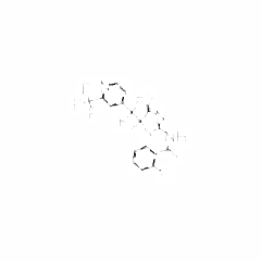 C[C@H](NC1=NC(=O)C(C)(C(F)(F)c2ccnc(C(F)(F)F)c2)S1)c1ccccc1F